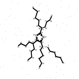 CCCCCC[C@H](CCCCC)c1nc([C@H](CCCC)CCCCC)sc1C(CCCC)CCCC